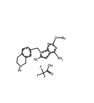 CCCCOc1nc(N)c2cc(C#N)n(Cc3ccc4c(c3)CN(C(C)C)CC4)c2n1.O=C(O)C(F)(F)F